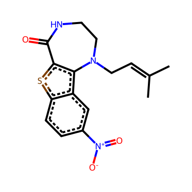 CC(C)=CCN1CCNC(=O)c2sc3ccc([N+](=O)[O-])cc3c21